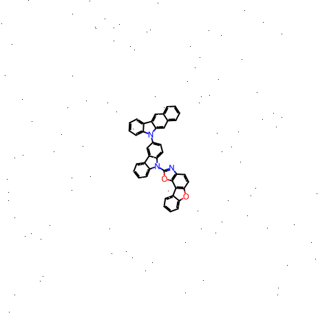 c1ccc2cc3c(cc2c1)c1ccccc1n3-c1ccc2c(c1)c1ccccc1n2-c1nc2ccc3oc4ccccc4c3c2o1